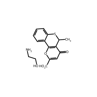 CC1Sc2ccccc2-c2oc(C(=O)O)cc(=O)c21.NCCO